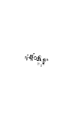 C[C@H](N)[C@H](CCn1ccc2cc(-c3ncc(C(F)(F)F)cn3)c(F)cc2c1=O)O[Si](C)(C)C(C)(C)C